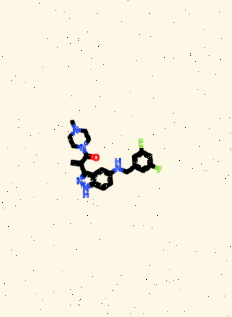 C=C(C(=O)N1CCN(C)CC1)c1n[nH]c2ccc(NCc3cc(F)cc(F)c3)cc12